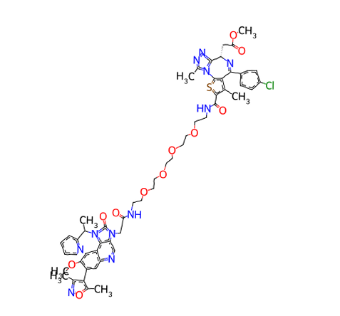 COC(=O)C[C@@H]1N=C(c2ccc(Cl)cc2)c2c(sc(C(=O)NCCOCCOCCOCCOCCNC(=O)Cn3c(=O)n(C(C)c4ccccn4)c4c5cc(OC)c(-c6c(C)noc6C)cc5ncc43)c2C)-n2c(C)nnc21